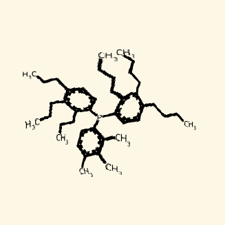 CCCCc1ccc(P(c2ccc(C)c(C)c2C)c2ccc(CCC)c(CCC)c2CCC)c(CCCC)c1CCCC